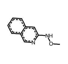 CONc1cc2ccccc2cn1